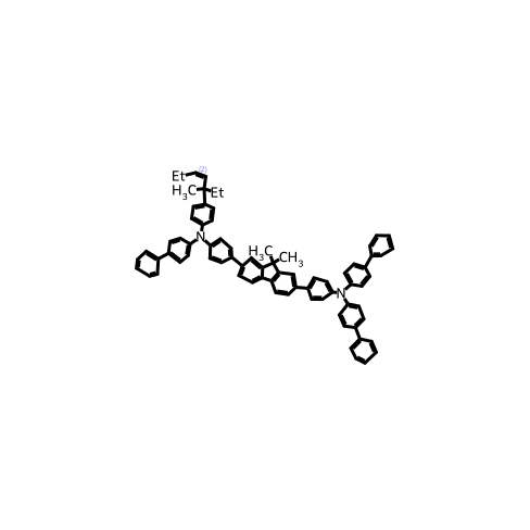 CC/C=C\C(C)(CC)c1ccc(N(c2ccc(-c3ccccc3)cc2)c2ccc(-c3ccc4c(c3)C(C)(C)c3cc(-c5ccc(N(c6ccc(-c7ccccc7)cc6)c6ccc(-c7ccccc7)cc6)cc5)ccc3-4)cc2)cc1